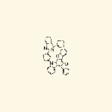 c1ccc(-c2nc(-c3cccc(-n4c5ccccc5c5c6c7ccccc7oc6c6c7ccccc7oc6c54)c3)nc3ccccc23)cc1